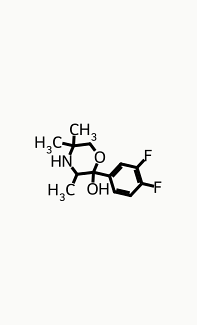 CC1NC(C)(C)COC1(O)c1ccc(F)c(F)c1